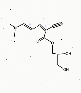 CN(C)/C=C/C=C(/C#N)C(=O)OCC(O)CO